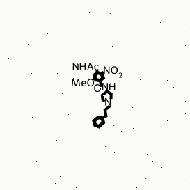 COc1cc(NC(C)=O)c([N+](=O)[O-])cc1C(=O)NC1CCN(CCCc2ccccc2)CC1